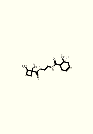 CC1CCC1(C(=O)OCCOC(=O)C1CC=CCC1C(=O)O)C(C)(C)C